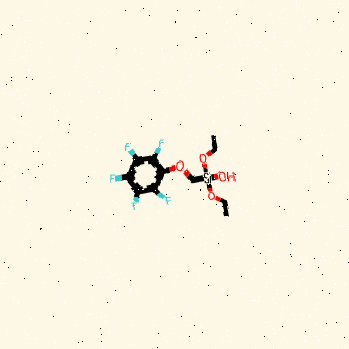 CCO[Si](O)(COc1c(F)c(F)c(F)c(F)c1F)OCC